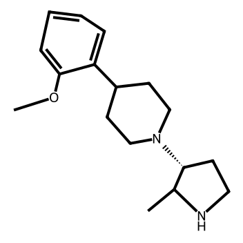 COc1ccccc1C1CCN([C@@H]2CCNC2C)CC1